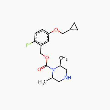 CC1CNCC(C)N1C(=O)OCc1cc(OCC2CC2)ccc1F